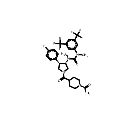 CC(=O)N1CCC(C(=O)N2C[C@@H](c3ccc(F)cc3)[C@@H](N(C)C(=O)N(C)c3cc(C(F)(F)F)cc(C(F)(F)F)c3)C2)CC1